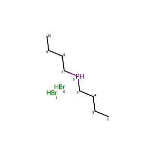 Br.Br.CCCCPCCCC